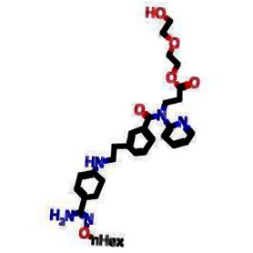 CCCCCCON=C(N)C1=CC=C(NCCc2cccc(C(=O)N(CCC(=O)OCCOCCO)c3ccccn3)c2)CC1